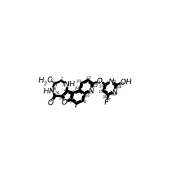 C[C@@H]1CNc2c(oc3ccc4nc(Oc5cc(F)nc(O)n5)ccc4c23)C(=O)N1